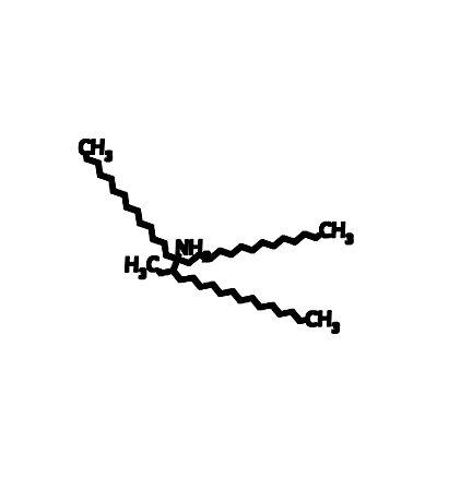 CCCCCCCCCCCCCCC(CC)C(N)(CCCCCCCCCCCCCC)CCCCCCCCCCCCCC